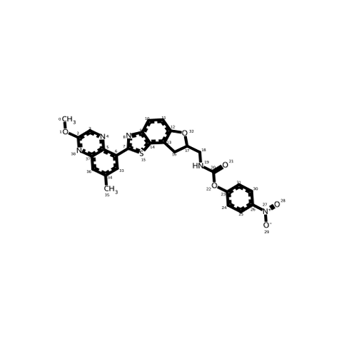 COc1cnc2c(-c3nc4ccc5c(c4s3)CC(CNC(=O)Oc3ccc([N+](=O)[O-])cc3)O5)cc(C)cc2n1